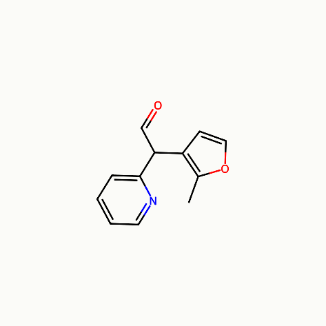 Cc1occc1C(C=O)c1ccccn1